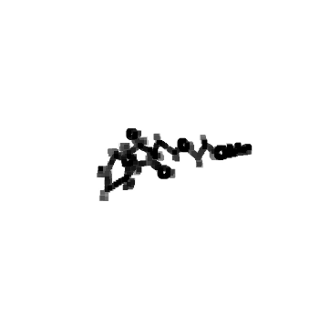 COCCOCCN1C(=O)C2C3C=CC(O3)C2C1=O